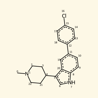 CN1CCC(c2c[nH]c3ccc(-c4ccc(Cl)cc4)cc23)CC1